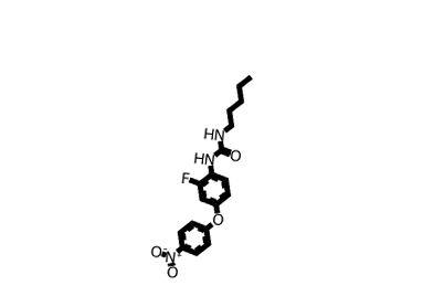 CCCCCNC(=O)Nc1ccc(Oc2ccc([N+](=O)[O-])cc2)cc1F